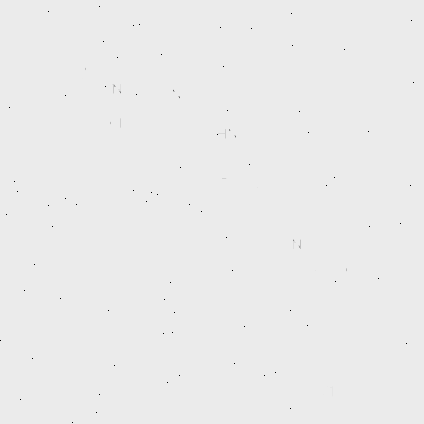 CN(C)c1cccc(CNCC2(F)CCN(C(=O)c3cccc(Cl)c3)CC2)n1